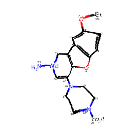 CCOc1ccc2oc3c(c2c1)CN(N)C=C3N1CCN(C(=O)O)CC1